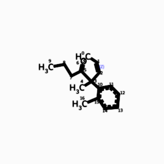 C/C=C\C(C)(C(=O)CCC)c1ccccc1C